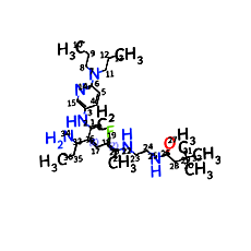 C=C(Nc1ccc(N(CCC)CCC)nc1)/C(=C\C(F)=C(/C)NCCNC(=O)CC(C)(C)C)C(N)CC